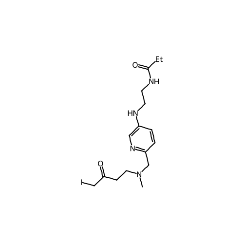 CCC(=O)NCCNc1ccc(CN(C)CCC(=O)CI)nc1